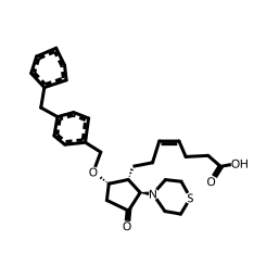 O=C(O)CC/C=C\CC[C@H]1[C@@H](OCc2ccc(Cc3ccccc3)cc2)CC(=O)[C@@H]1N1CCSCC1